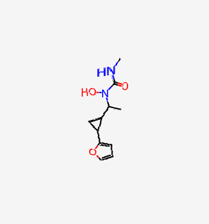 CNC(=O)N(O)C(C)C1CC1c1ccco1